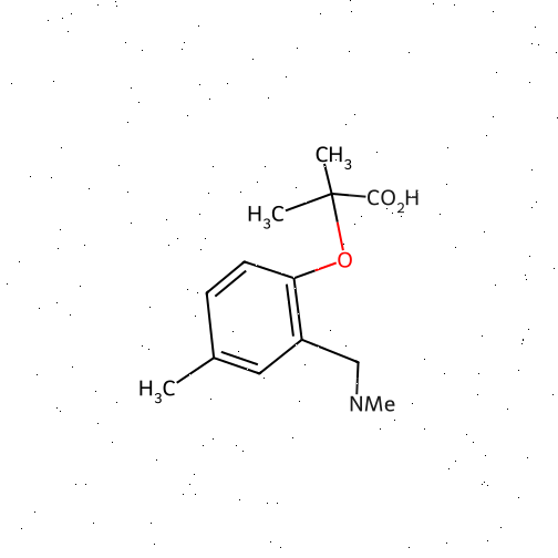 CNCc1cc(C)ccc1OC(C)(C)C(=O)O